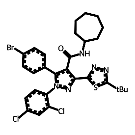 CC(C)(C)c1nnc(-c2nn(-c3ccc(Cl)cc3Cl)c(-c3ccc(Br)cc3)c2C(=O)NC2CCCCCC2)s1